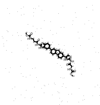 COC(=O)NCCC(=O)Pc1nc2ccc(-c3ccc4c(c3)Cc3cc(-c5cnc(PC(=O)CNC(=O)OC)[nH]5)ccc3-4)cc2[nH]1